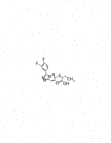 CCC(Sc1ccc2nnc(-c3ccc(F)c(F)c3)n2n1)C(=O)O